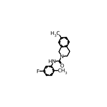 Cc1ccc2c(c1)CN(C(=O)Nc1cc(F)ccc1C)CC2